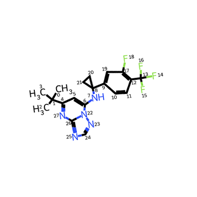 CC(C)(C)c1cc(NC2(c3ccc(C(F)(F)F)c(F)c3)CC2)n2ncnc2n1